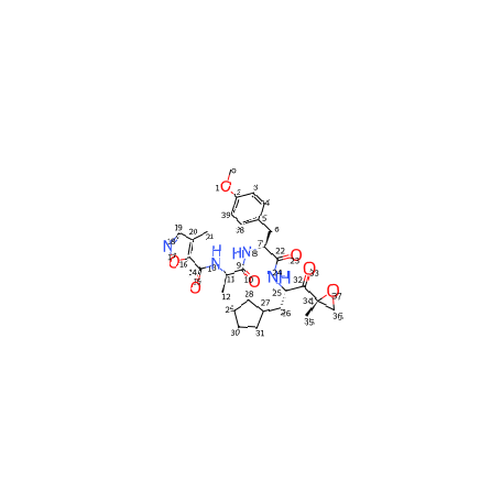 COc1ccc(C[C@H](NC(=O)[C@@H](C)NC(=O)c2oncc2C)C(=O)N[C@@H](CC2CCCC2)C(=O)[C@@]2(C)CO2)cc1